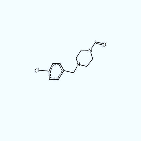 O=[C]N1CCN(Cc2ccc(Cl)cc2)CC1